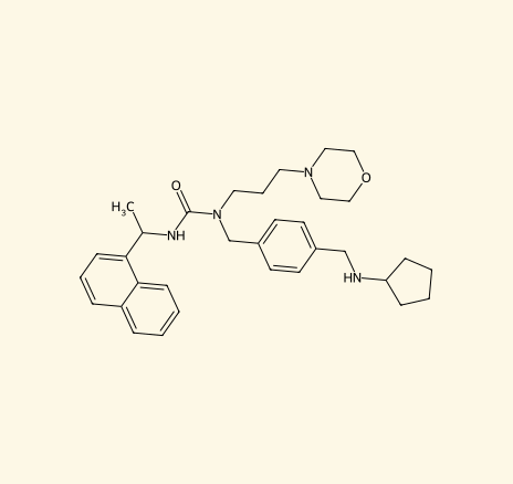 CC(NC(=O)N(CCCN1CCOCC1)Cc1ccc(CNC2CCCC2)cc1)c1cccc2ccccc12